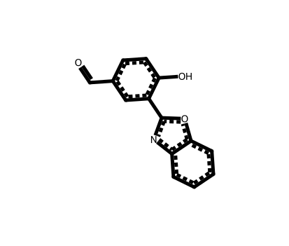 O=Cc1ccc(O)c(-c2nc3ccccc3o2)c1